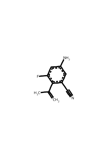 C=C(C)c1c(F)cc(N)cc1C#N